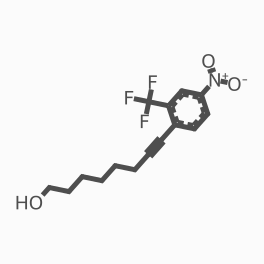 O=[N+]([O-])c1ccc(C#CCCCCCCO)c(C(F)(F)F)c1